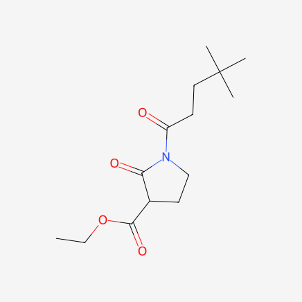 CCOC(=O)C1CCN(C(=O)CCC(C)(C)C)C1=O